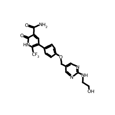 NC(=O)c1cc(-c2ccc(OCc3cnc(NCCO)nc3)cc2)c(C(F)(F)F)[nH]c1=O